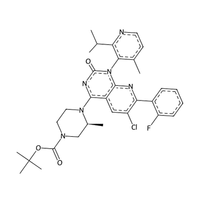 Cc1ccnc(C(C)C)c1-n1c(=O)nc(N2CCN(C(=O)OC(C)(C)C)C[C@@H]2C)c2cc(Cl)c(-c3ccccc3F)nc21